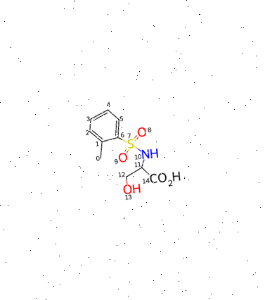 Cc1ccccc1S(=O)(=O)NC(CO)C(=O)O